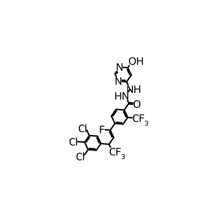 O=C(NNc1cc(O)ncn1)c1ccc(/C(F)=C/C(c2cc(Cl)c(Cl)c(Cl)c2)C(F)(F)F)cc1C(F)(F)F